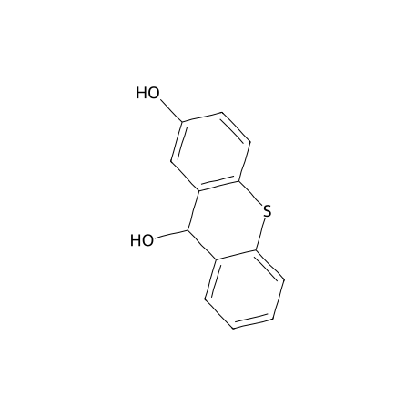 Oc1ccc2c(c1)C(O)c1ccccc1S2